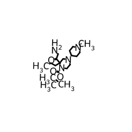 CCCC1(C(=O)CN)CN(C2CCN(C)CC2)CCN1C(=O)OC(C)(C)C